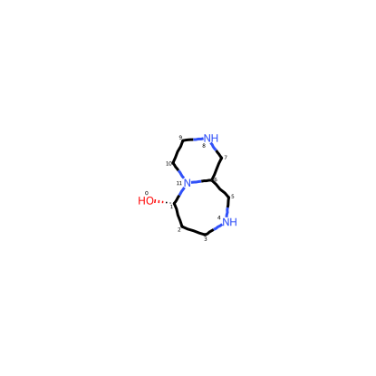 O[C@H]1CCNCC2CNCCN21